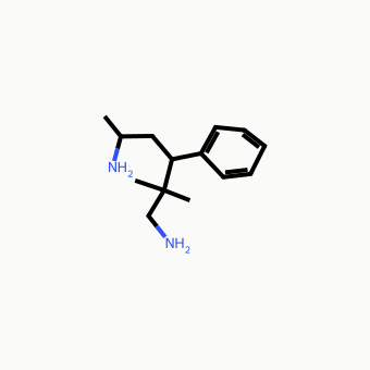 CC(N)CC(c1ccccc1)C(C)(C)CN